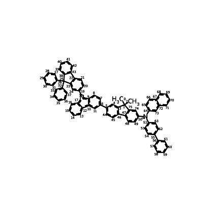 CC1(C)c2cc(-c3ccc4c(c3)c3ccccc3n4-c3ccc4c(c3)C(c3ccccc3)(c3ccccc3)c3ccccc3-4)ccc2-c2ccc(N(c3ccc(-c4ccccc4)cc3)c3ccc4ccccc4c3)cc21